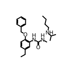 CCCCNC(C)C.CCc1ccc(OCc2ccccc2)c(NC(=O)NC)c1